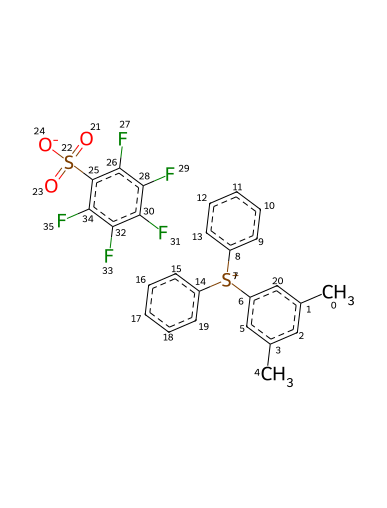 Cc1cc(C)cc([S+](c2ccccc2)c2ccccc2)c1.O=S(=O)([O-])c1c(F)c(F)c(F)c(F)c1F